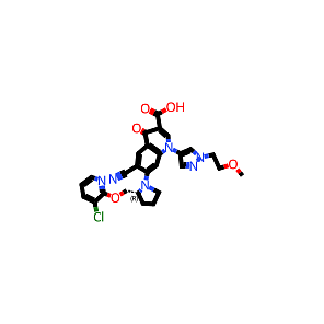 COCCn1cc(-n2cc(C(=O)O)c(=O)c3cc(C#N)c(N4CCC[C@@H]4COc4ncccc4Cl)cc32)cn1